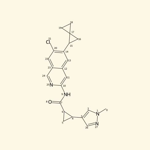 Cn1cc(C2CC2C(=O)Nc2cc3cc(C4CC45CC5)c(Cl)cc3cn2)cn1